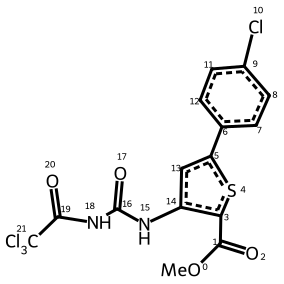 COC(=O)c1sc(-c2ccc(Cl)cc2)cc1NC(=O)NC(=O)C(Cl)(Cl)Cl